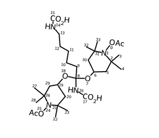 CC(=O)ON1C(C)(C)CC(OC(CCCCCNC(=O)O)(NC(=O)O)OC2CC(C)(C)N(OC(C)=O)C(C)(C)C2)CC1(C)C